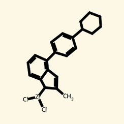 CC1=Cc2c(-c3ccc(C4CCCCC4)cc3)cccc2[CH]1[Zr]([Cl])[Cl]